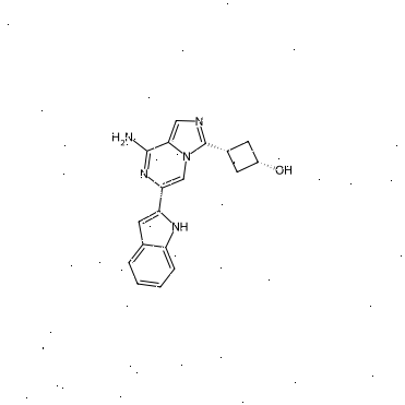 Nc1nc(-c2cc3ccccc3[nH]2)cn2c1cnc2[C@H]1C[C@@H](O)C1